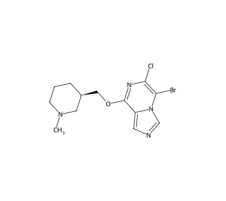 CN1CCC[C@@H](COc2nc(Cl)c(Br)n3cncc23)C1